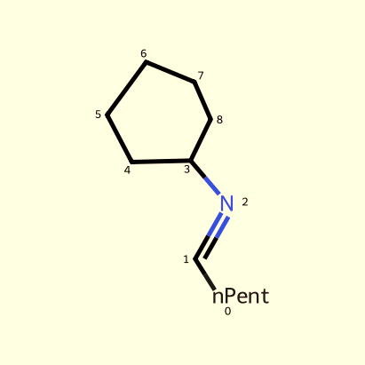 CCCCC/C=N/C1CCCCC1